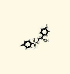 Cc1ccc(S(=O)(=O)OC[C@H](O)c2ccc(F)cc2)cc1